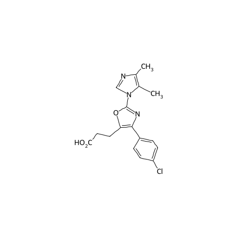 Cc1ncn(-c2nc(-c3ccc(Cl)cc3)c(CCC(=O)O)o2)c1C